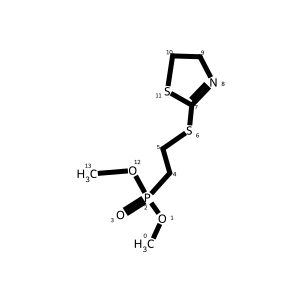 COP(=O)(CCSC1=NCCS1)OC